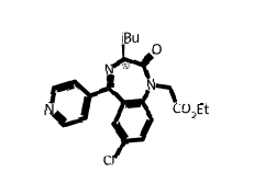 CCOC(=O)CN1C(=O)[C@H](C(C)CC)N=C(c2ccncc2)c2cc(Cl)ccc21